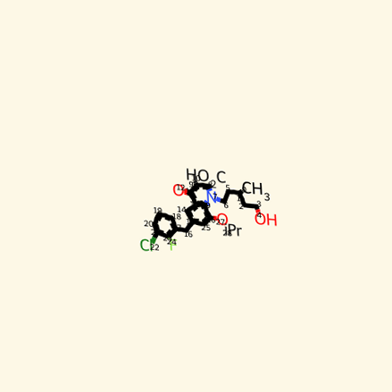 CC(CCO)CCn1cc(C(=O)O)c(=O)c2cc(Cc3cccc(Cl)c3F)cc(OC(C)C)c21